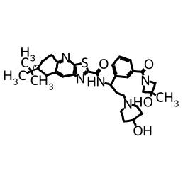 CC1(O)CN(C(=O)c2cccc(C(CCN3CCC(O)CC3)NC(=O)c3nc4cc5c(nc4s3)CC[C@H](C(C)(C)C)C5)c2)C1